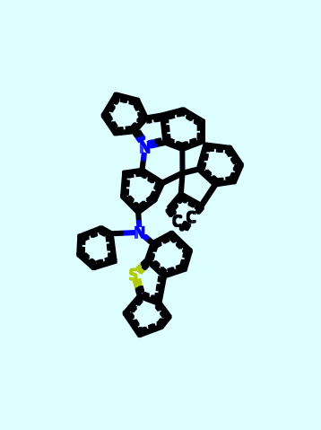 c1ccc(N(c2ccc3c(c2)C2(c4ccccc4-c4ccccc42)c2cccc4c5ccccc5n-3c24)c2cccc3c2sc2ccccc23)cc1